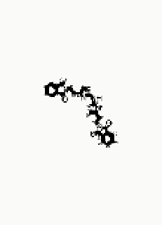 O=C1c2ccccc2C(=O)N1CCc1csc(Nc2nc(CCN3C(=O)c4ccccc4C3=O)cs2)n1